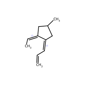 C=C/C=C1/CC(C)C/C1=C/C